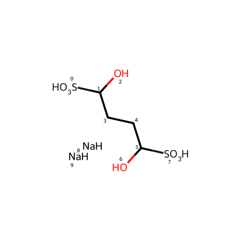 O=S(=O)(O)C(O)CCC(O)S(=O)(=O)O.[NaH].[NaH]